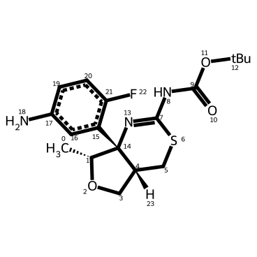 C[C@H]1OC[C@H]2CSC(NC(=O)OC(C)(C)C)=N[C@]21c1cc(N)ccc1F